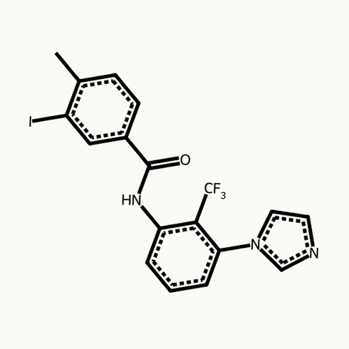 Cc1ccc(C(=O)Nc2cccc(-n3ccnc3)c2C(F)(F)F)cc1I